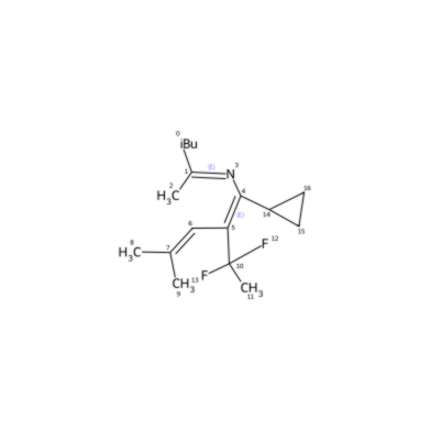 CCC(C)/C(C)=N/C(=C(\C=C(C)C)C(C)(F)F)C1CC1